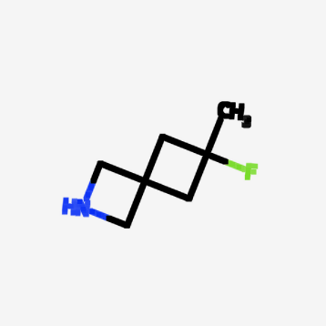 CC1(F)CC2(CNC2)C1